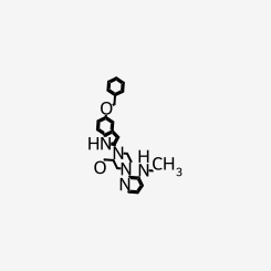 CCNc1cccnc1N1CCN(c2cc3cc(OCc4ccccc4)ccc3[nH]2)C(C=O)C1